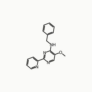 COc1cnc(-c2ccccn2)nc1NCc1ccccc1